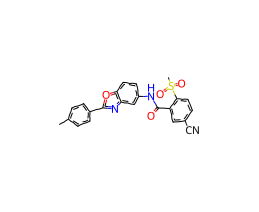 Cc1ccc(-c2nc3cc(NC(=O)c4cc(C#N)ccc4S(C)(=O)=O)ccc3o2)cc1